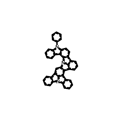 c1ccc(-n2c3ccccc3c3c2ccc2c4cccc5c6c7c8ccccc8n8c9ccccc9c(cc6n(c45)c23)c78)cc1